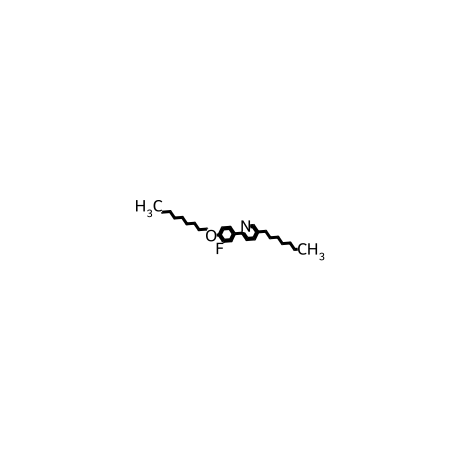 CCCCCCCCCOc1ccc(-c2ccc(CCCCCCC)cn2)cc1F